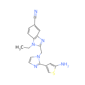 CCn1c(Cn2ccnc2-c2csc(N)c2)nc2cc(C#N)ccc21